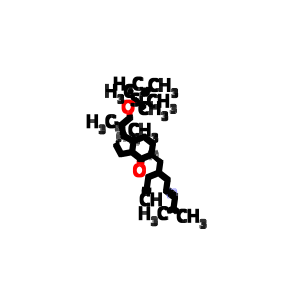 C#CCC(C/C=C/C(C)C)C[C@@H]1CC[C@@]2(C)C(CC[C@@H]2[C@H](C)CO[Si](C)(C)C(C)(C)C)C1=O